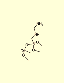 CO[Si](C)(C)O[Si](CNCN)(OC)OC